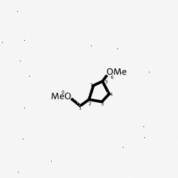 COCC1CCC(OC)C1